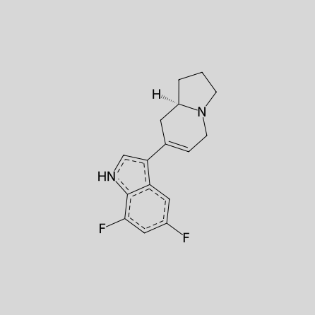 Fc1cc(F)c2[nH]cc(C3=CCN4CCC[C@@H]4C3)c2c1